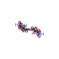 O=C1CCC(N2C(=O)c3cccc(NC(=O)CCCCC(=O)Nc4cccc5c4C(=O)N(C4CCC(=O)NC4=O)C5=O)c3C2=O)C(=O)N1